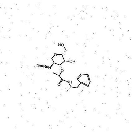 C[C@@H](Cc1ccccc1)NC(=O)[C@@H](C)O[C@H]1[C@H](O)[C@@H](CO)OC[C@@H]1N=[N+]=[N-]